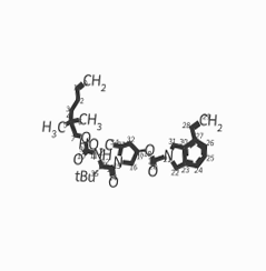 C=CCCC(C)(C)COC(=O)N[C@H](C(=O)N1C[C@H](OC(=O)N2Cc3cccc(C=C)c3C2)CC1C(=O)O)C(C)(C)C